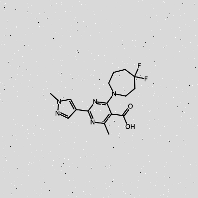 Cc1nc(-c2cnn(C)c2)nc(N2CCCC(F)(F)CC2)c1C(=O)O